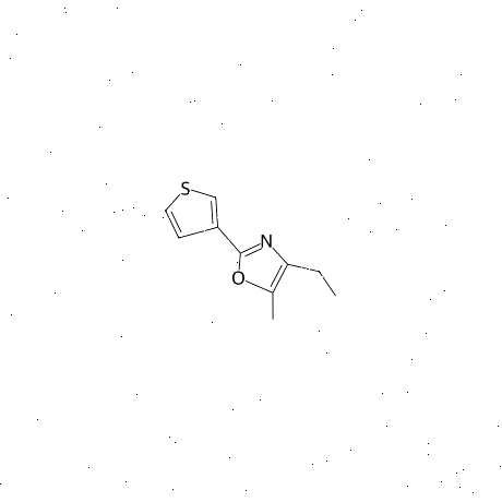 CCc1nc(-c2ccsc2)oc1C